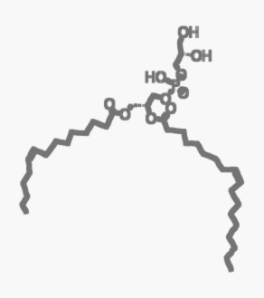 CCCCC/C=C\CCCCCCCC(=O)OC[C@H](COP(=O)(O)OC[C@@H](O)CO)OC(=O)CCCCCCC/C=C\CCCCCCCC